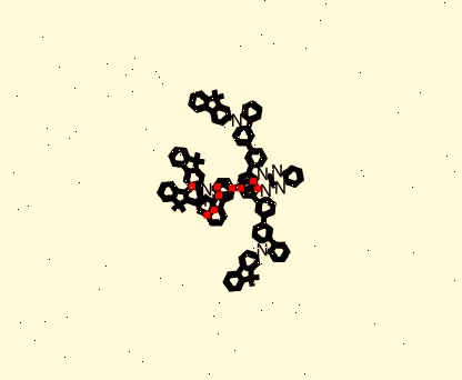 CC1(C)c2ccccc2-c2ccc(-n3c4ccccc4c4cc(-c5ccc6c(c5)c5cc(-c7ccc8c(c7)c7ccccc7n8-c7ccc8c(c7)C(C)(C)c7ccccc7-8)ccc5n6-c5nc6ccccc6nc5-n5c6ccc(-c7ccc8c(c7)c7ccccc7n8-c7ccc8c(c7)C(C)(C)c7ccccc7-8)cc6c6cc(-c7ccc8c(c7)c7ccccc7n8-c7ccc8c(c7)C(C)(C)c7ccccc7-8)ccc65)ccc43)cc21